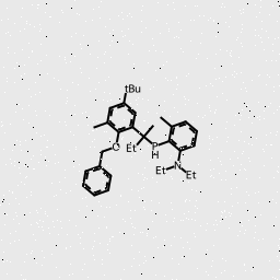 CCN(CC)c1cccc(C)c1PC(C)(CC)c1cc(C(C)(C)C)cc(C)c1OCc1ccccc1